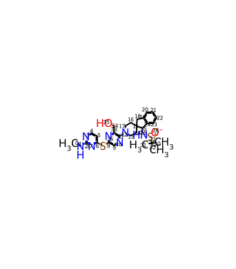 CNc1nccc(Sc2cnc(N3CCC4(CC3)Cc3ccccc3[C@H]4N[S+]([O-])C(C)(C)C)c(CO)n2)n1